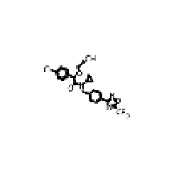 C#CCOC(C(=O)N(Cc1ccc(-c2noc(C(F)(F)F)n2)cc1)C1CC1)c1ccc(Cl)cc1